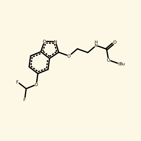 CC(C)(C)OC(=O)NCCOc1noc2ccc(OC(F)F)cc12